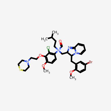 COc1ccc(Br)cc1CC1C(C[N+](C=O)(CCC(C)C)c2ccc(OC)c(OCCN3CCSCC3)c2Cl)N=C2C=CC=CN21